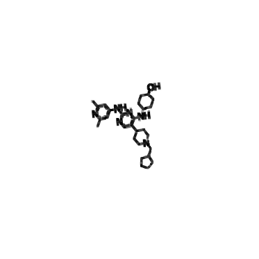 Cc1cc(Nc2ncc(C3CCN(CC4CCCC4)CC3)c(N[C@H]3CC[C@H](O)CC3)n2)cc(C)n1